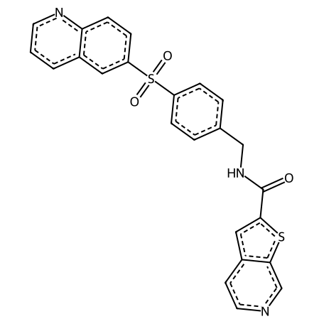 O=C(NCc1ccc(S(=O)(=O)c2ccc3ncccc3c2)cc1)c1cc2ccncc2s1